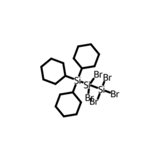 Br[Si](Br)(Br)[Si](Br)(Br)[Si](C1CCCCC1)(C1CCCCC1)C1CCCCC1